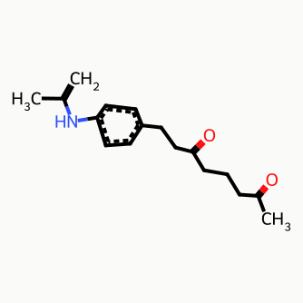 C=C(C)Nc1ccc(CCC(=O)CCCC(C)=O)cc1